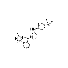 Cc1noc(-c2ccccc2C(=O)N2CCC[C@@H](Nc3ccc(C(F)(F)F)cn3)C2)n1